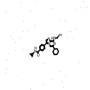 CC(C)CNc1nc(C2CCCCC2)cn2c(-c3ccc(C(=O)NC4CC4)cc3)cnc12